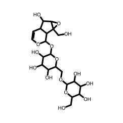 OCC1OC(OCC2OC(OC3OC=CC4C(O)C5OC5(CO)C34)C(O)C(O)C2O)C(O)C(O)C1O